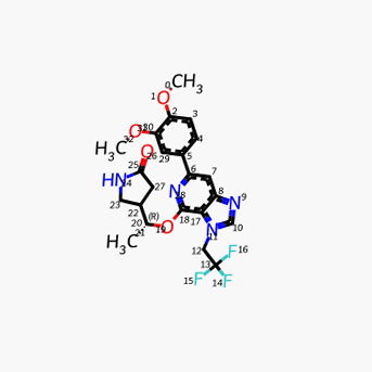 COc1ccc(-c2cc3ncn(CC(F)(F)F)c3c(O[C@H](C)C3CNC(=O)C3)n2)cc1OC